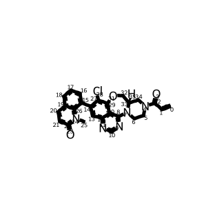 C=CC(=O)N1CCN2c3ncnc4cc(-c5cccc6ccc(=O)n(C)c56)c(Cl)c(c34)OC[C@@H]2C1